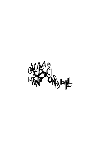 CNC(=O)CSc1c(F)c(Cl)c(-c2ccc3nc(NC(=O)[C@@H]4C[C@@H]4F)sc3c2)c2cn[nH]c12